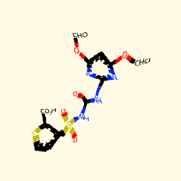 O=COc1cc(OC=O)nc(NC(=O)NS(=O)(=O)c2ccsc2C(=O)O)n1